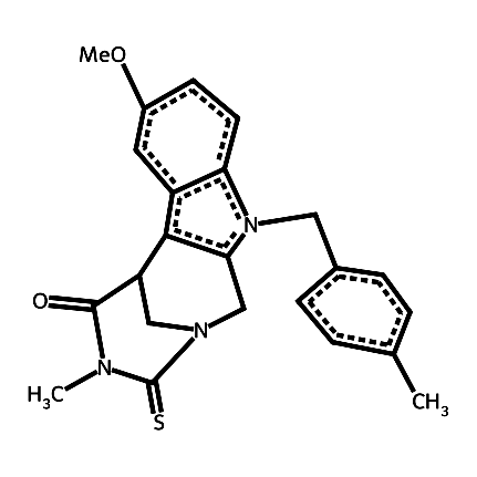 COc1ccc2c(c1)c1c(n2Cc2ccc(C)cc2)CN2CC1C(=O)N(C)C2=S